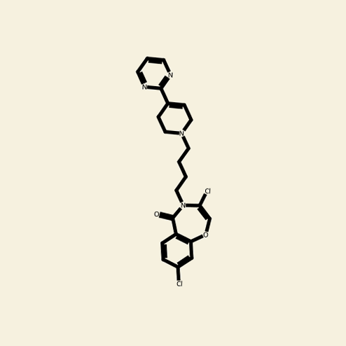 O=C1c2ccc(Cl)cc2OC=C(Cl)N1CCCCN1CC=C(c2ncccn2)CC1